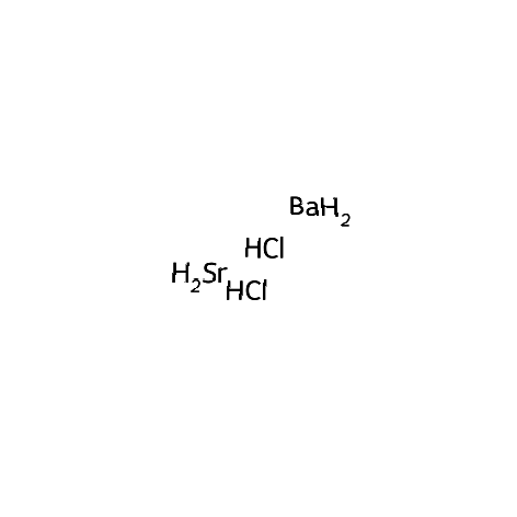 Cl.Cl.[BaH2].[SrH2]